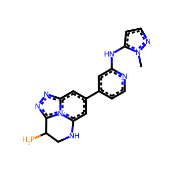 Cn1nccc1Nc1cc(-c2cc3n4c(nnc4c2)C(P)CN3)ccn1